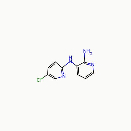 Nc1ncccc1Nc1ccc(Cl)cn1